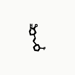 O=c1cc(C=Cc2cccc(F)c2)cc[nH]1